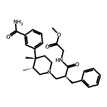 COC(=O)CNC(=O)[C@@H](Cc1ccccc1)CN1CC[C@@](C)(c2cccc(C(N)=O)c2)[C@@H](C)C1